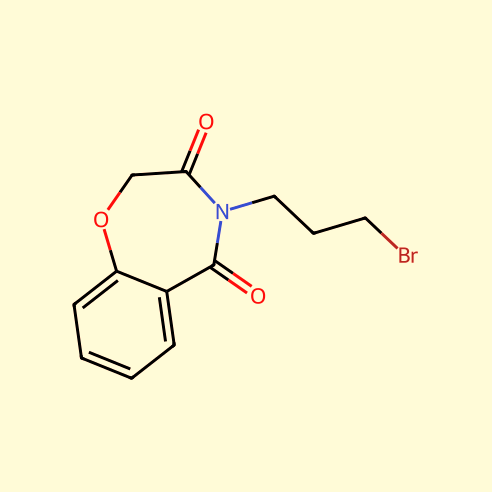 O=C1COc2ccccc2C(=O)N1CCCBr